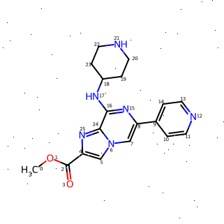 COC(=O)c1cn2cc(-c3ccncc3)nc(NC3CCNCC3)c2n1